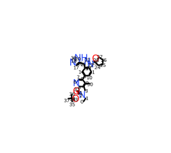 CCN(Cc1cncc(-c2ccc3c(c2)c(-c2cnc[nH]2)nn3C2CCCCO2)c1C)C(=O)OC(C)(C)C